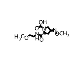 COCCNC(=O)[C@@H]1CC(=NOC)CN1C(=O)O